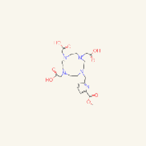 COC(=O)c1cccc(CN2CCN(CC(=O)O)CCN(CC(=O)O)CCN(CC(=O)O)CC2)n1